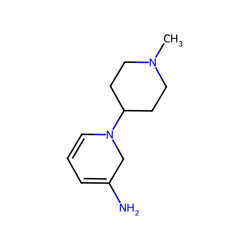 CN1CCC(N2C=CC=C(N)C2)CC1